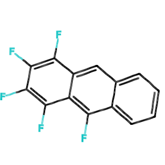 Fc1c(F)c(F)c2c(F)c3ccccc3cc2c1F